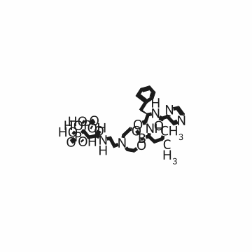 CC(C)CC(NC(=O)[C@@H](Cc1ccccc1)NC(=O)c1cnccn1)B1OCCN(CCNC(=O)CC(O)(P(=O)(O)O)P(=O)(O)O)CCO1